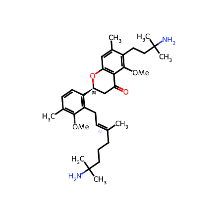 COc1c(C)ccc([C@@H]2CC(=O)c3c(cc(C)c(CCC(C)(C)N)c3OC)O2)c1C/C=C(\C)CCCC(C)(C)N